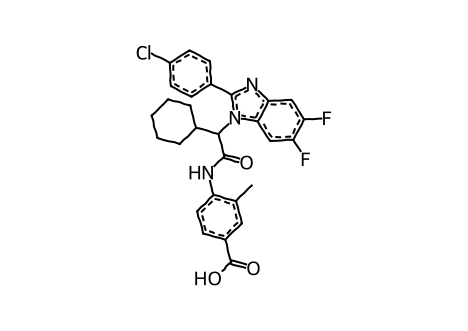 Cc1cc(C(=O)O)ccc1NC(=O)C(C1CCCCC1)n1c(-c2ccc(Cl)cc2)nc2cc(F)c(F)cc21